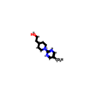 O=C(O)c1cnc(N2CCC(CCO)CC2)nc1